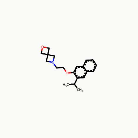 CC(C)c1cc2ccccc2cc1OCCN1CC2(COC2)C1